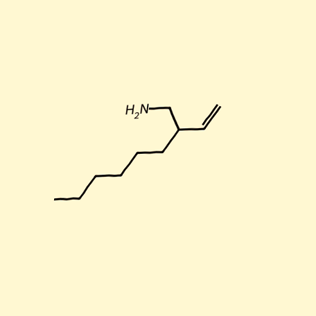 C=CC(CN)CCCCCC